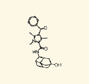 Cc1c(C(=O)c2ccccc2)c(C)n(C)c1C(=O)NC1C2CC3CC1CC(O)(C3)C2